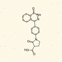 O=C(O)C1CCN(c2ccc(-c3n[nH]c(=O)c4ccccc34)cc2)C1=O